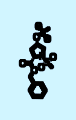 CS(=O)(=O)O[C@H]1C[C@@H](C(=O)OCc2ccccc2)N(S(C)(=O)=O)C1